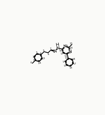 Cc1ccc(CCC=NNc2cc(-c3ccccc3)nc(C)n2)cc1